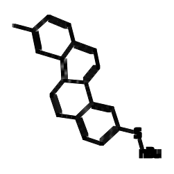 CCCCSc1ccc2ccc3c4cc(C)ccc4ccc3c2c1